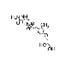 CC1C=C(OCCC(O)CO)C=CC1/C=C/S(=O)(=O)N1CCC(N)(C(N)=O)CC1